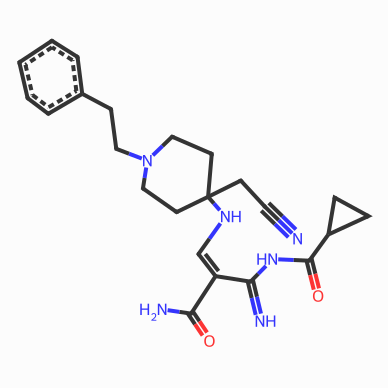 N#CCC1(N/C=C(\C(=N)NC(=O)C2CC2)C(N)=O)CCN(CCc2ccccc2)CC1